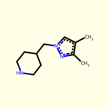 Cc1cn(CC2CCNCC2)nc1C